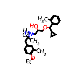 CCOc1ccc(CC(C)(C)NC[C@@H](O)CO[C@@H](c2ccccc2C)C2CC2)cc1C